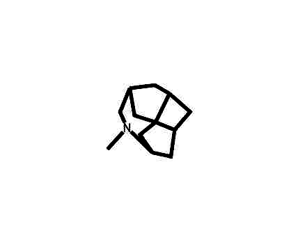 CN1CC2CC3CC4CC1CC34C2